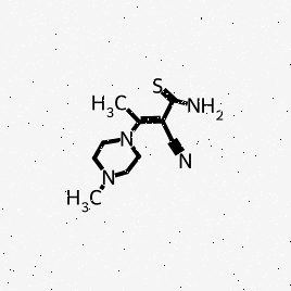 C/C(=C(/C#N)C(N)=S)N1CCN(C)CC1